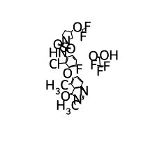 Cc1c(Oc2c(F)ccc(NS(=O)(=O)N3CC[C@@H](OC(F)F)C3)c2Cl)ccc2ncn(C)c(=O)c12.O=C(O)C(F)(F)F